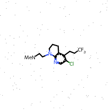 CNCCN1CCCc2c1ncc(Cl)c2CCC(F)(F)F